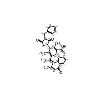 CC(=O)C1=C(C)N([C@H]2CC(=O)N(Cc3ccccc3)C2=O)C(C)=C(C(=O)O)[C@@H]1c1cccc2c(=O)cc(C)oc12